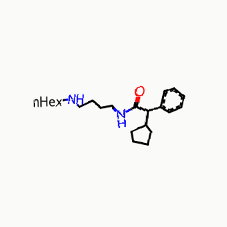 CCCCCCNCCCCNC(=O)C(c1ccccc1)C1CCCC1